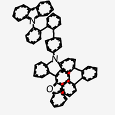 c1ccc(-c2ccccc2-c2ccc(N(c3ccc(-c4ccccc4-c4ccccc4-n4c5ccccc5c5ccccc54)cc3)c3ccccc3-c3cccc4c3oc3ccccc34)cc2)cc1